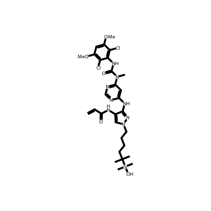 C=CC(=O)Nc1cn(CCCCC(C)(C)[Si](C)(C)O)nc1Nc1cc(N(C)C(=O)Nc2c(Cl)c(OC)cc(OC)c2Cl)ncn1